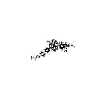 CCN1CCN(c2ccc(Nc3ncnc(Oc4ccc5[nH]c(C)cc5c4F)c3C(=O)N(C)CC)cc2)CC1